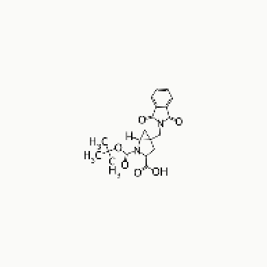 CC(C)(C)OC(=O)N1[C@H](C(=O)O)CC2(CN3C(=O)c4ccccc4C3=O)C[C@@H]12